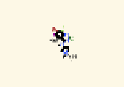 CN(c1nc(Cl)nc2c(F)c(Br)c(I)c(C(C)(C)C)c12)[C@H]1CCN(C(=O)O)C1